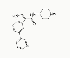 O=C(NC1CCNCC1)c1c[nH]c2ccc(-c3cccnc3)cc12